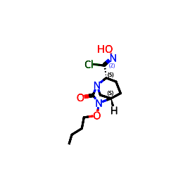 CCCCON1C(=O)N2C[C@@H]1CC[C@H]2/C(Cl)=N/O